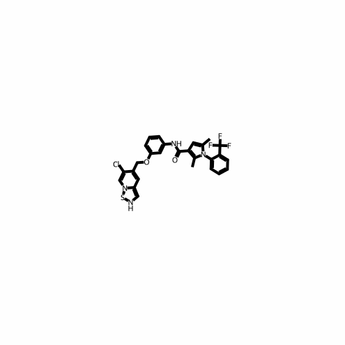 Cc1cc(C(=O)Nc2cccc(OCC3=CC4=CNSN4C=C3Cl)c2)c(C)n1-c1ccccc1C(F)(F)F